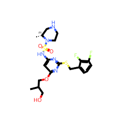 CC(CO)COc1cc(NS(=O)(=O)N2CCNC[C@H]2C)nc(SCc2cccc(F)c2F)n1